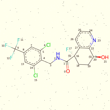 O=C(NCc1c(Cl)cc(C(F)(F)F)cc1Cl)[C@]1(F)CC[C@H](O)c2ncccc21